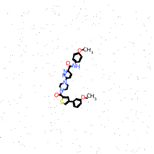 CCOc1cccc(-c2csc(C(=O)N3CCN(c4ccc(C(=O)Nc5ccc(OC)cc5)nn4)CC3)c2)c1